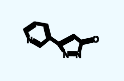 O=C1C=C(c2cccnc2)N=N1